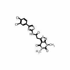 Cn1c(=O)c2c(CC(=O)Nc3nc(-c4ccc(Cl)c(Cl)c4)cs3)snc2n(C)c1=O